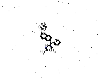 C=C/C=N\C(=C/C)N(c1ccc2cc(OS(=O)(=O)C(F)(F)F)ccc2c1)c1ccccn1